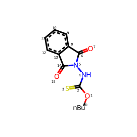 CCCCOC(=S)NN1C(=O)c2ccccc2C1=O